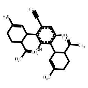 C#Cc1cc(O)c(C2C=C(C)CCC2C(=C)C)c(O)c1C1C=C(C)CCC1C(=C)C